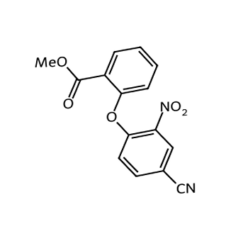 COC(=O)c1ccccc1Oc1ccc(C#N)cc1[N+](=O)[O-]